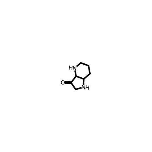 O=C1CNC2CCCNC12